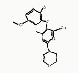 COc1ccc(Cl)c(Oc2c(C)nc(N3CCOCC3)nc2O)c1